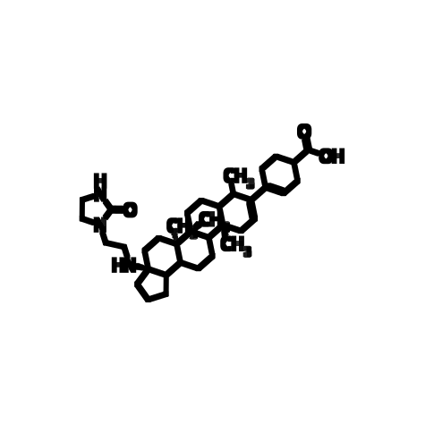 CC1C(C2=CCC(C(=O)O)CC2)=CC[C@@]2(C)C1CC[C@]1(C)C2CCC2C3CCC[C@]3(NCCN3CCNC3=O)CC[C@]21C